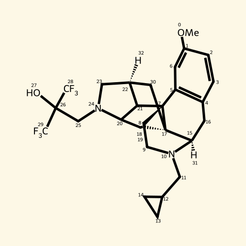 COc1ccc2c(c1)[C@]13CCN(CC4CC4)[C@H](C2)[C@]12CCC1C3[C@@H](CN1CC(O)(C(F)(F)F)C(F)(F)F)C2